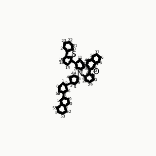 c1cc(-c2ccc(N(c3cccc(-c4cccc5c4sc4ccccc45)c3)c3cccc4oc5c6ccccc6ccc5c34)cc2)cc(-c2ccc3ccccc3c2)c1